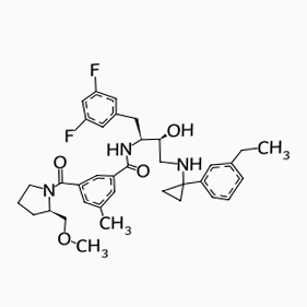 CCc1cccc(C2(NC[C@H](O)[C@H](Cc3cc(F)cc(F)c3)NC(=O)c3cc(C)cc(C(=O)N4CCC[C@@H]4COC)c3)CC2)c1